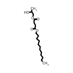 CCCCCCCCCCCCOC(=O)CCC(=O)OCC(C)O